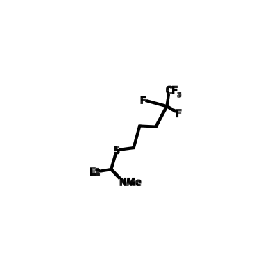 CCC(NC)SCCCC(F)(F)C(F)(F)F